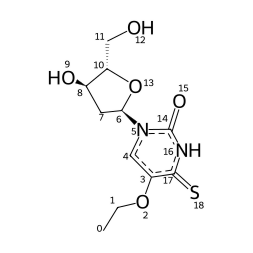 CCOc1cn([C@H]2C[C@@H](O)[C@H](CO)O2)c(=O)[nH]c1=S